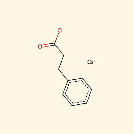 O=C([O-])CCc1ccccc1.[Cs+]